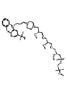 COC(COCC(CN1CCN(CCCN2c3ccccc3Sc3ccc(C(F)(F)F)cc32)CC1)OC)COCC(CC(C)(C)OCC(C)(C)OC)OC